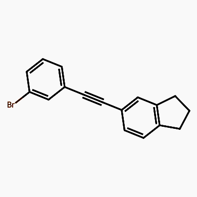 Brc1cccc(C#Cc2ccc3c(c2)CCC3)c1